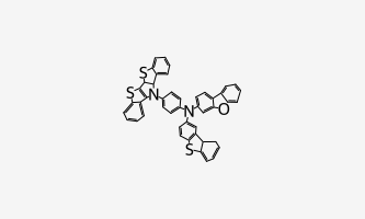 C1=CCC2C(=C1)Sc1ccc(N(c3ccc(N4c5c(sc6ccccc56)C5Sc6ccccc6C54)cc3)c3ccc4c(c3)oc3ccccc34)cc12